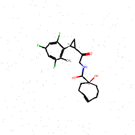 CC1=C([C@H]2CC2C(=O)CNC(O)[C@@]2(O)CC/C=C/CCC2)C(F)=CC(F)C=C1F